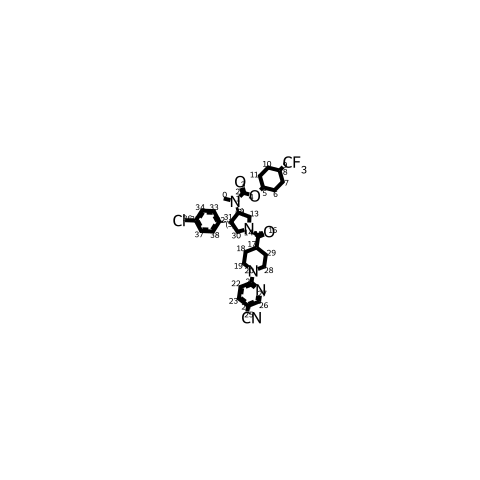 CN(C(=O)OC1CCC(C(F)(F)F)CC1)[C@H]1CN(C(=O)C2CCN(c3ccc(C#N)cn3)CC2)C[C@@H]1c1ccc(Cl)cc1